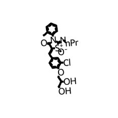 CCC/N=C1/N(c2ccccc2C)C(=O)/C(=C/c2ccc(OCC(O)CO)c(Cl)c2)[S+]1[O-]